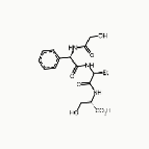 CC[C@H](NC(=O)[C@H](NC(=O)CO)c1ccccc1)C(=O)N[C@@H](CO)C(=O)O